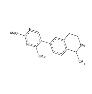 COc1ncc(-c2ccc3c(c2)CCNC3C)c(OC)n1